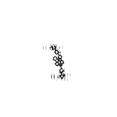 CC1=NC(C)(C)C(C)(C)N1c1ccc(-c2ccc3c(c2)C2(c4ccccc4-c4ccccc42)c2c-3ccc3cc(-c4ccc(N5C(C)=NC(C)(C)C5(C)C)cn4)ccc23)nc1